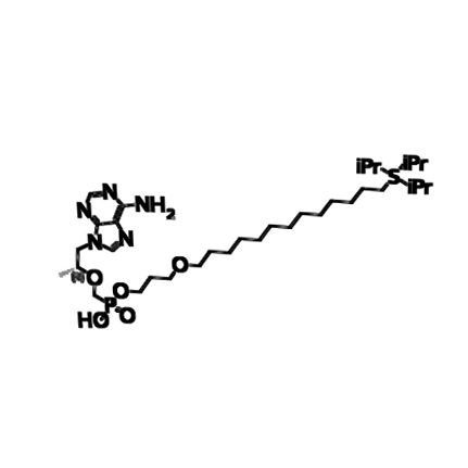 CC(C)S(CCCCCCCCCCCCCOCCCOP(=O)(O)CO[C@H](C)Cn1cnc2c(N)ncnc21)(C(C)C)C(C)C